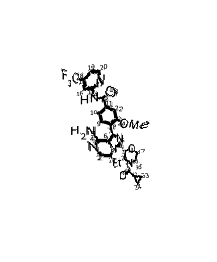 CCc1cnc(N)c2c(-c3ccc(C(=O)Nc4cc(C(F)(F)F)ccn4)cc3OC)nc([C@H]3CN(C(=O)C4CC4)[C@@H](C)CO3)n12